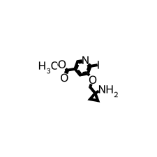 COC(=O)c1cnc(I)c(OCC2(N)CC2)c1